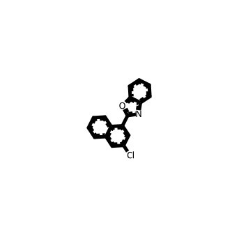 Clc1cc(-c2nc3ccccc3o2)c2ccccc2c1